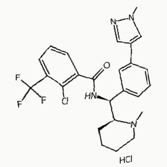 CN1CCCC[C@H]1[C@@H](NC(=O)c1cccc(C(F)(F)F)c1Cl)c1cccc(-c2cnn(C)c2)c1.Cl